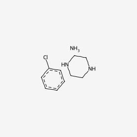 C1CNCCN1.Clc1ccccc1.N